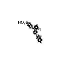 Cc1ccc(S(=O)(=O)OC[C@H]2CCN(c3c(Cl)cccc3CN3CC4CN(C(=O)O)CC4C3)C2)cc1